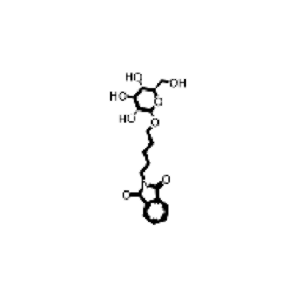 O=C1c2ccccc2C(=O)N1CCCCCO[C@H]1O[C@H](CO)[C@@H](O)[C@H](O)[C@H]1O